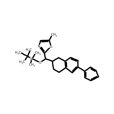 Cc1cnc(C(O[Si](C)(C)C(C)(C)C)C2CCc3cc(-c4ccccc4)ccc3C2)o1